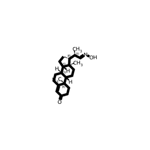 C[C@H](C=NO)[C@H]1CC[C@H]2[C@@H]3CCC4=CC(=O)CC[C@]4(C)[C@H]3CC[C@]12C